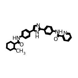 CC1CCCCC1C(=O)Nc1ccc(-c2cnc(-c3ccc(NC(=O)c4ccccn4)cc3)[nH]2)cc1